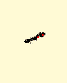 O=C(NCc1ccn2ccnc2c1)Nc1ccc(C2CCN(C(=O)c3cccc4c3CCC4=O)CC2)cc1